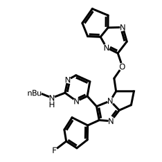 CCCCNc1nccc(-c2c(-c3ccc(F)cc3)nc3n2C(COc2cnc4ccccc4n2)CC3)n1